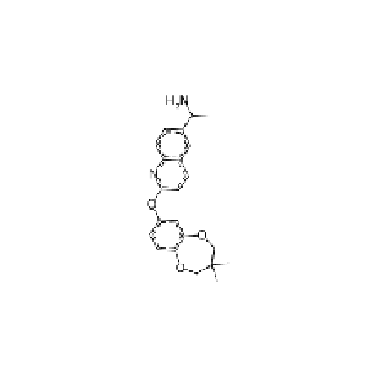 CC(N)c1ccc2nc(Oc3ccc4c(c3)OCC(C)(C)CO4)ccc2c1